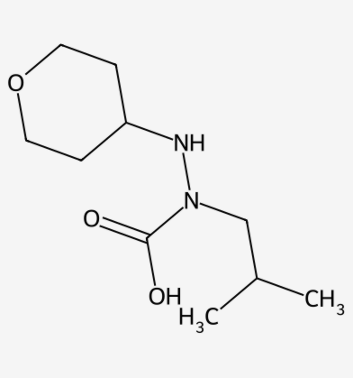 CC(C)CN(NC1CCOCC1)C(=O)O